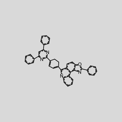 C1=C(c2nc(-c3ccccc3)cc(-c3ccccc3)n2)CCC(c2nc3ccccc3c3c2ccc2oc(-c4ccccc4)nc23)=C1